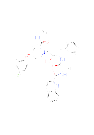 CC(C)[C@H](NC(=O)c1ccc2ccccc2n1)C(=O)N[C@@H](Cc1ccccc1)[C@H](O)CN1CC[C@@H](Oc2ccc(F)cc2)C[C@H]1C(=O)NC(C)(C)C